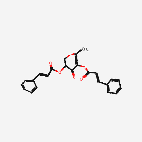 CC1=C(OC(=O)C=Cc2ccccc2)C(=O)C(OC(=O)C=Cc2ccccc2)CO1